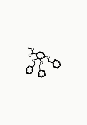 COC(=O)c1ccc(OCc2ccccc2)c(OCc2ccccc2)c1OCc1ccccc1